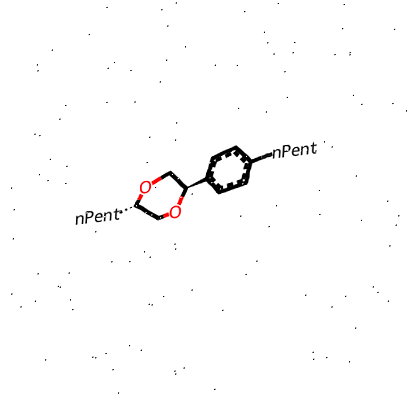 CCCCCc1ccc([C@@H]2CO[C@@H](CCCCC)CO2)cc1